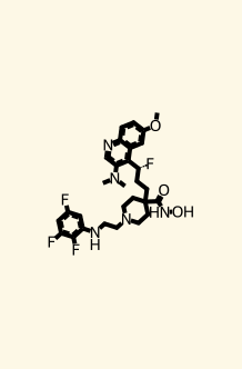 COc1ccc2ncc(N(C)C)c([C@H](F)CCC3(C(=O)NO)CCN(CCNc4cc(F)cc(F)c4F)CC3)c2c1